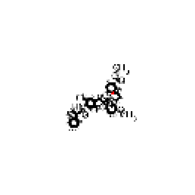 CCOC(=O)[C@H]1CC[C@H](OC(C(=O)Cc2cc(Cl)c(NC(=O)c3csc4ccccc34)cc2F)(N2CCCC2)N2CCC[C@@H](OC)C2)CC1